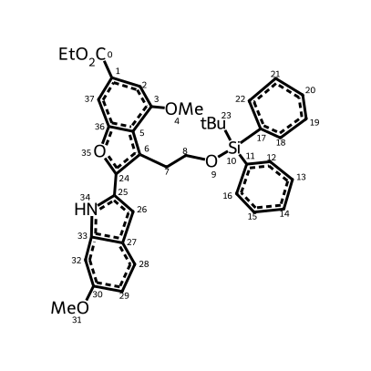 CCOC(=O)c1cc(OC)c2c(CCO[Si](c3ccccc3)(c3ccccc3)C(C)(C)C)c(-c3cc4ccc(OC)cc4[nH]3)oc2c1